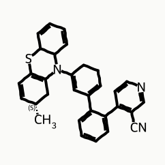 C[C@@H]1C=CC2=C(C1)N(C1=CC(c3ccccc3-c3ccncc3C#N)=CCC1)C1C=CC=CC1S2